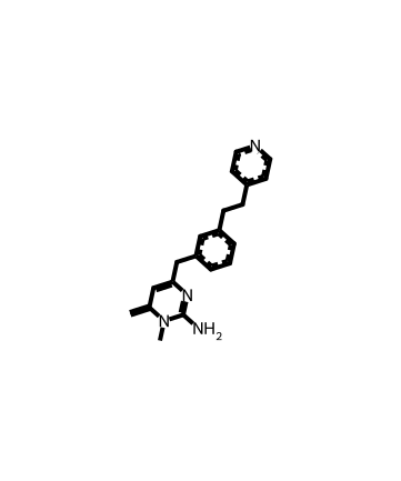 C=C1C=C(Cc2cccc(CCc3ccncc3)c2)N=C(N)N1C